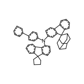 c1ccc(-c2ccc(N(c3ccc4c(c3)C3(c5ccccc5-4)C4CC5CC(C4)CC3C5)c3cccc4c3-c3ccccc3C43CCCC3)cc2)cc1